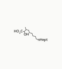 CCCCCCCCCCCCCC(C)C(O)C(=O)O